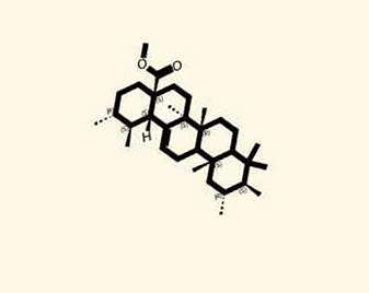 COC(=O)[C@]12CC[C@@H](C)[C@H](C)[C@H]1C1=CCC3[C@@]4(C)C[C@@H](C)[C@H](C)C(C)(C)C4CC[C@@]3(C)[C@]1(C)CC2